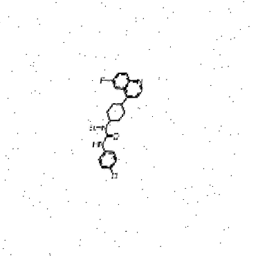 CCN(C(=O)Nc1ccc(Cl)cc1)C1CCC(c2ccnc3ccc(F)cc23)CC1